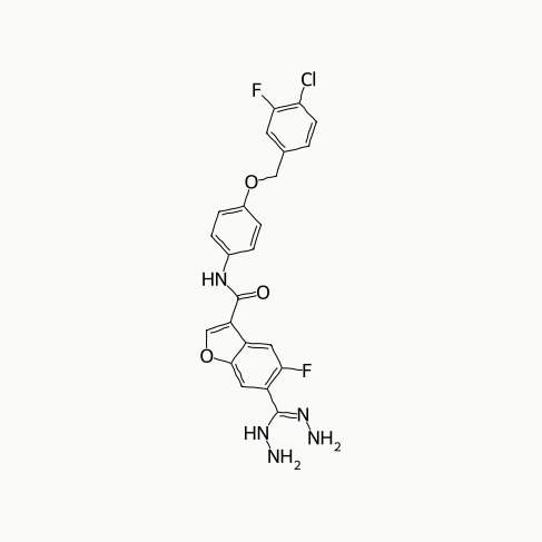 N/N=C(\NN)c1cc2occ(C(=O)Nc3ccc(OCc4ccc(Cl)c(F)c4)cc3)c2cc1F